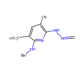 C=NNc1nc(NC(C)CC)c(C(=O)O)cc1C#N